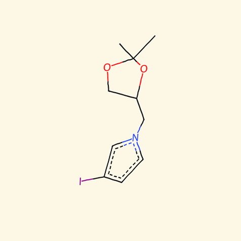 CC1(C)OCC(Cn2ccc(I)c2)O1